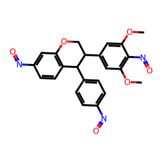 COc1cc(C2COc3cc(N=O)ccc3C2c2ccc(N=O)cc2)cc(OC)c1N=O